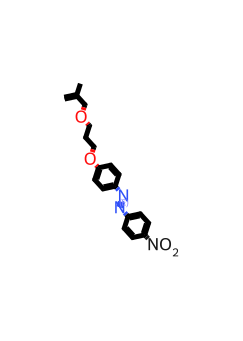 C=C(C)COCCCOc1ccc(/N=N/c2ccc([N+](=O)[O-])cc2)cc1